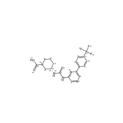 O=C(Nc1cncc(-c2ccc(C(F)(F)F)cc2)n1)N[C@H]1CCCN(C(=O)O)C1